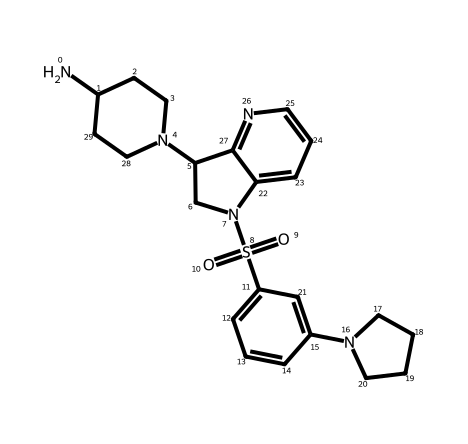 NC1CCN(C2CN(S(=O)(=O)c3cccc(N4CCCC4)c3)c3cccnc32)CC1